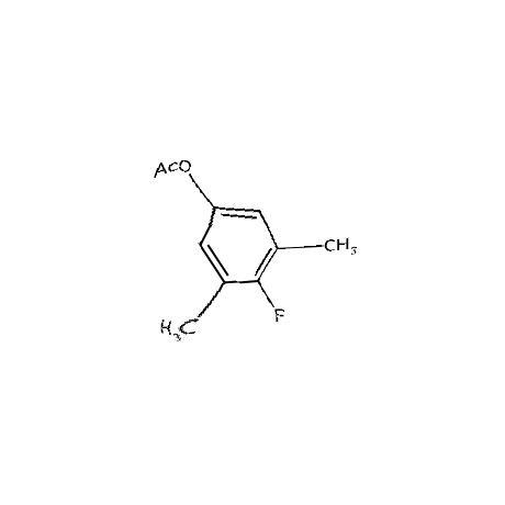 CC(=O)Oc1cc(C)c(F)c(C)c1